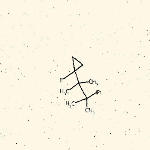 CC(C)C(C)(C)C(C)(C)C1(F)CC1